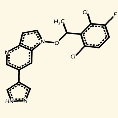 CC(On1ccc2ncc(-c3cn[nH]c3)cc21)c1c(Cl)ccc(F)c1Cl